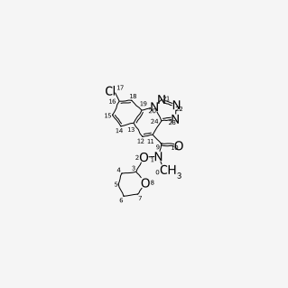 CN(OC1CCCCO1)C(=O)c1cc2ccc(Cl)cc2n2nnnc12